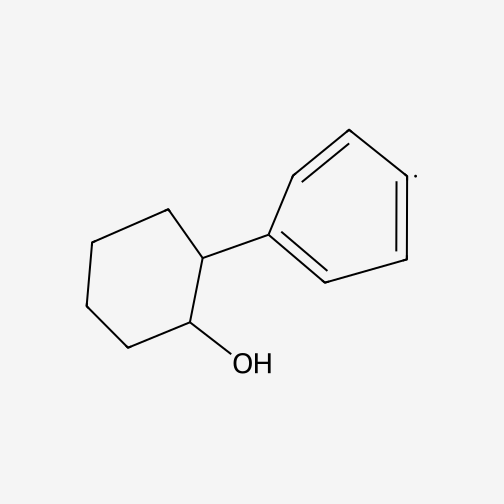 OC1CCCCC1c1cc[c]cc1